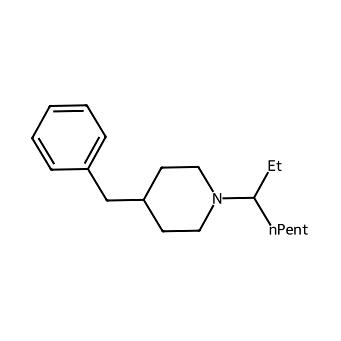 CCCCCC(CC)N1CCC(Cc2ccccc2)CC1